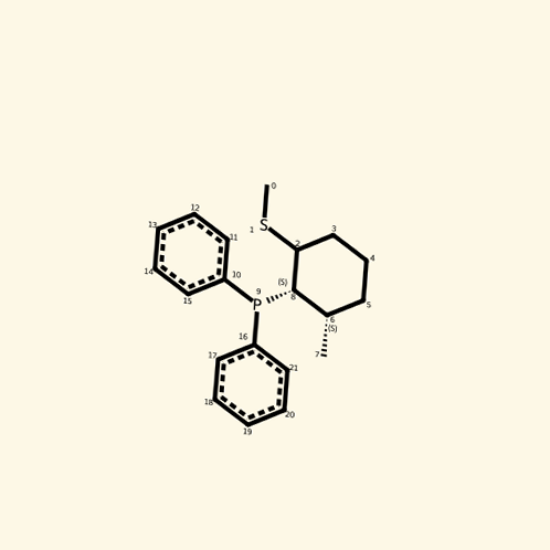 CSC1CCC[C@H](C)[C@@H]1P(c1ccccc1)c1ccccc1